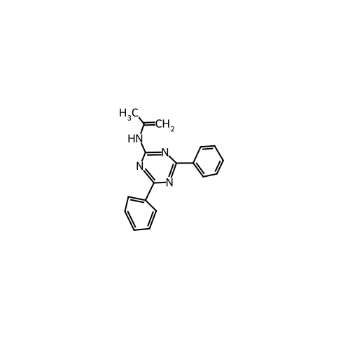 C=C(C)Nc1nc(-c2ccccc2)nc(-c2ccccc2)n1